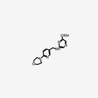 COc1cncc(NCc2ccc(N3CCOCC3)nc2)n1